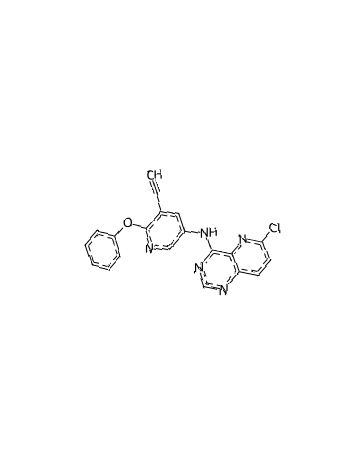 C#Cc1cc(Nc2ncnc3ccc(Cl)nc23)cnc1Oc1ccccc1